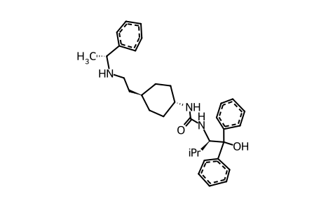 CC(C)[C@@H](NC(=O)N[C@H]1CC[C@H](CCN[C@H](C)c2ccccc2)CC1)C(O)(c1ccccc1)c1ccccc1